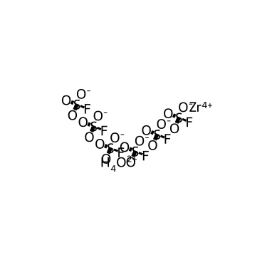 O=S(=O)([O-])F.O=S(=O)([O-])F.O=S(=O)([O-])F.O=S(=O)([O-])F.O=S(=O)([O-])F.O=S(=O)([O-])F.[OH4+2].[Zr+4]